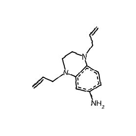 C=CCN1CCN(CC=C)c2cc(N)ccc21